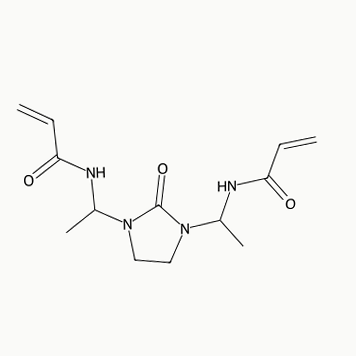 C=CC(=O)NC(C)N1CCN(C(C)NC(=O)C=C)C1=O